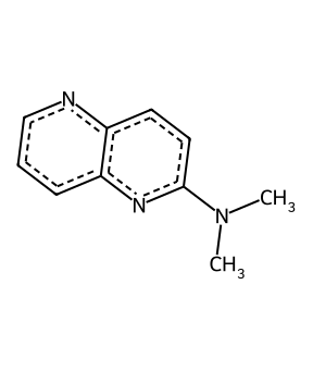 CN(C)c1ccc2ncccc2n1